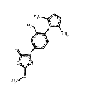 COc1nn(-c2ccc(-n3c(C)ccc3C)c(C)c2)c(=O)o1